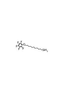 Fc1c(F)c(F)c(OCCCCCCCCCCC[SiH3])c(F)c1F